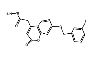 NNC(=O)Cc1cc(=O)oc2cc(OCc3cccc(F)c3)ccc12